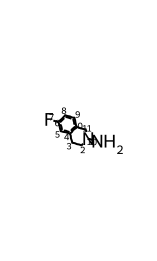 NN1CCc2cc(F)ccc2C1